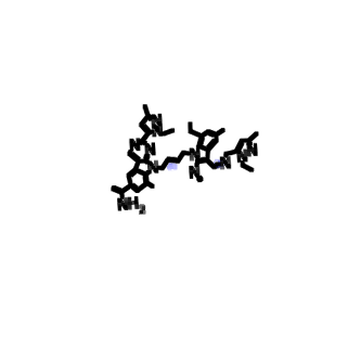 C=Nc1c(/C=N\Cc2cc(C)nn2CC)c2cc(C)cc(CC)c2n1C/C=C/Cn1c2nc(-c3cc(C)nn3CC)ncc2c2cc(C(=C)N)cc(C)c21